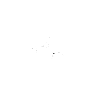 CC(C)(C)OC(=O)C1CC1[B-](F)(F)F.[K+]